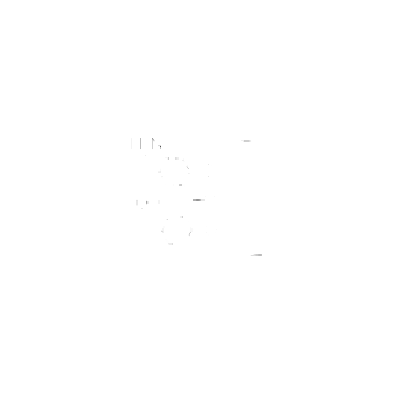 C=CCCOc1cccc2c1C(=O)c1c(OCCC=C)cc(N)cc1C2=O